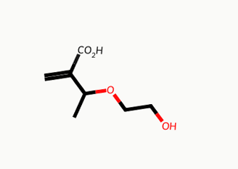 C=C(C(=O)O)C(C)OCCO